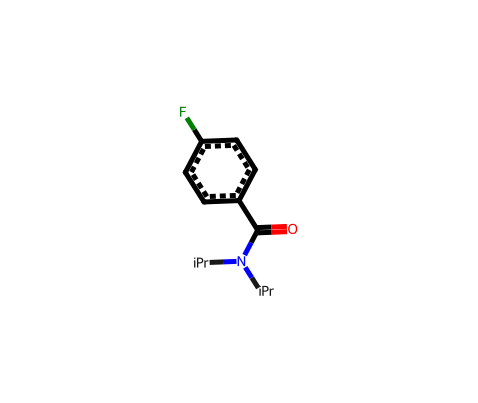 CC(C)N(C(=O)c1ccc(F)cc1)C(C)C